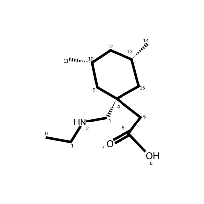 CCNC[C@]1(CC(=O)O)C[C@H](C)C[C@H](C)C1